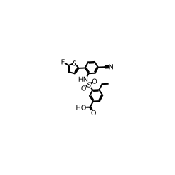 CCc1ccc(C(=O)O)cc1S(=O)(=O)Nc1cc(C#N)ccc1-c1ccc(F)s1